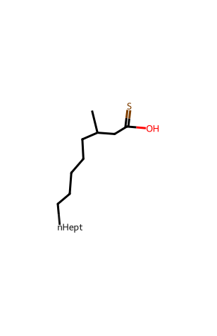 CCCCCCCCCCCCC(C)CC(O)=S